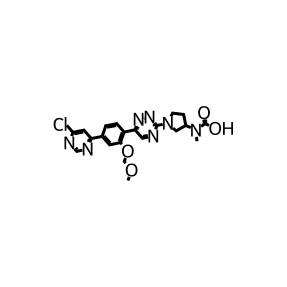 COCOc1cc(-c2cc(Cl)ncn2)ccc1-c1cnc(N2CCC(N(C)C(=O)O)C2)nn1